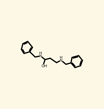 OC(CCNCc1ccccc1)NCc1ccccc1